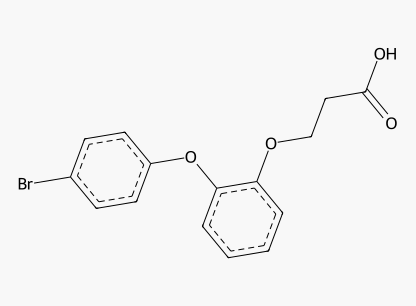 O=C(O)CCOc1ccccc1Oc1ccc(Br)cc1